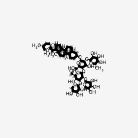 C[C@@H]1CC[C@@]2(OC1)O[C@H]1C[C@H]3[C@@H]4CC[C@H]5C[C@@H](O[C@@H]6O[C@H](CO)[C@H](O[C@@H]7O[C@H](CO)[C@@H](O)[C@H](O[C@@H]8OC[C@@H](O)[C@H](O)[C@H]8O)[C@H]7O[C@@H]7OC[C@H](O)[C@H](O)[C@H]7O)[C@H](O)[C@H]6O[C@@H]6O[C@@H](C)[C@H](O)[C@@H](O)[C@H]6O)CC[C@]5(C)[C@H]4CC[C@]3(C)[C@H]1[C@@H]2C